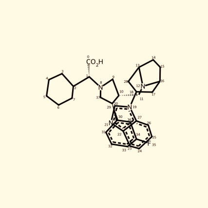 O=C(O)[C@@H](C1CCCCC1)N1C[C@H](CN2C3CCC2CC(n2cnc4ccccc42)C3)[C@@H](c2cccc(F)c2)C1